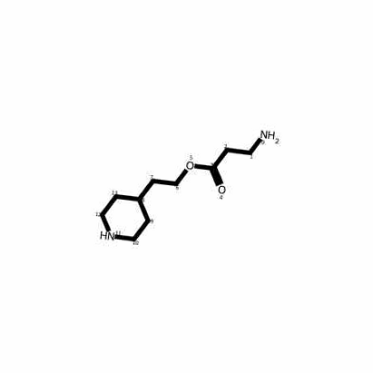 NCCC(=O)OCCC1CCNCC1